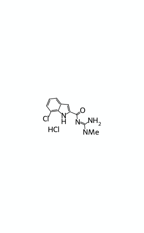 CNC(N)=NC(=O)c1cc2cccc(Cl)c2[nH]1.Cl